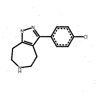 Clc1ccc(C2=N[N]C3=C2CCNCC3)cc1